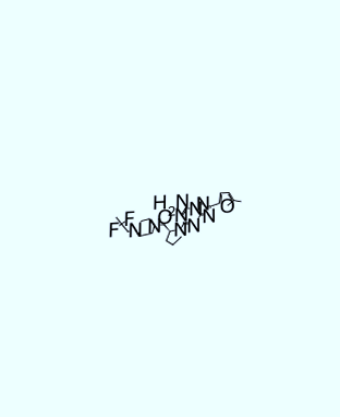 Cc1ccc(-c2nc3nc(N4CCC[C@H]4C(=O)N4CCN(CC(C)(F)F)CC4)nc(N)n3n2)o1